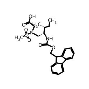 CC[C@@H](C)[C@@H](CN(CC(=O)O)S(C)(=O)=O)NC(=O)OCC1c2ccccc2-c2ccccc21